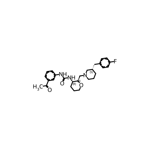 CC(=O)c1cccc(NC(=O)N[C@@H]2CCCO[C@@H]2CN2CCC[C@@H](Cc3ccc(F)cc3)C2)c1